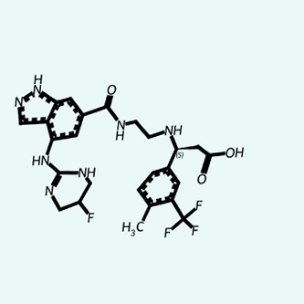 Cc1ccc([C@H](CC(=O)O)NCCNC(=O)c2cc(NC3=NCC(F)CN3)c3cn[nH]c3c2)cc1C(F)(F)F